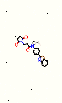 CN(C(=O)CCN1C(=O)CCC1=O)c1ccc(-c2nc3ccccc3s2)cc1